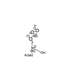 CC(=O)NCCCCN(CCCSc1ccc(Cl)c(CNC2(c3cnccc3-c3ccccc3OC3CC3)CC2)c1)C(=O)C(O)CCCCO